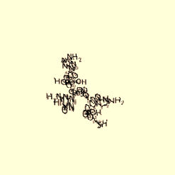 Nc1ccn([C@H]2CC(OP(=O)(O)OCCCS)[C@@H](COP(=O)(O)OC3C[C@H](n4cnc5c(=O)[nH]c(N)nc54)O[C@@H]3COP(=O)(O)OC3C[C@H](n4cnc5c(N)ncnc54)O[C@@H]3CO)O2)c(=O)n1